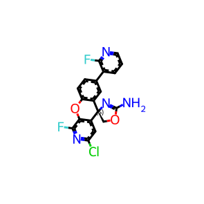 NC1=N[C@@]2(CO1)c1cc(-c3cccnc3F)ccc1Oc1c2cc(Cl)nc1F